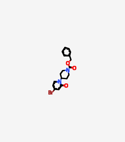 O=C(OCc1ccccc1)N1CCC(n2ccc(Br)cc2=O)CC1